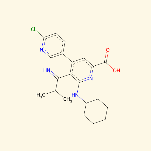 CC(C)C(=N)c1c(-c2ccc(Cl)nc2)cc(C(=O)O)nc1NC1CCCCC1